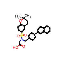 CC1(C)CCc2cc(S(=O)(=O)N(CC(=O)O)Cc3ccc(-c4ccc5ccccc5c4)cc3)ccc2O1